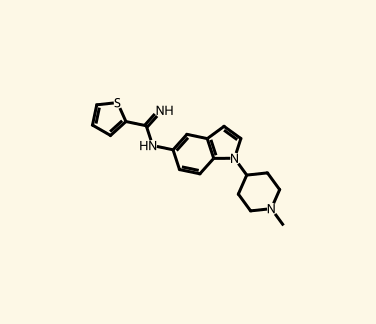 CN1CCC(n2ccc3cc(NC(=N)c4cccs4)ccc32)CC1